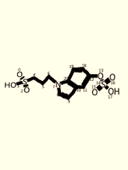 O=S(=O)(O)CCCn1ccc2cc(OS(=O)(=O)O)ccc21